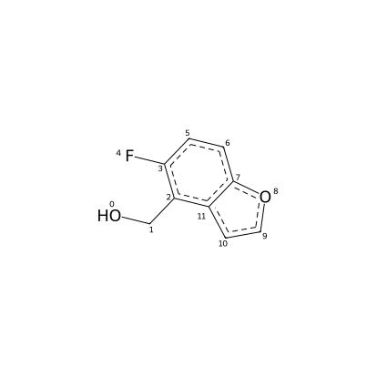 OCc1c(F)ccc2occc12